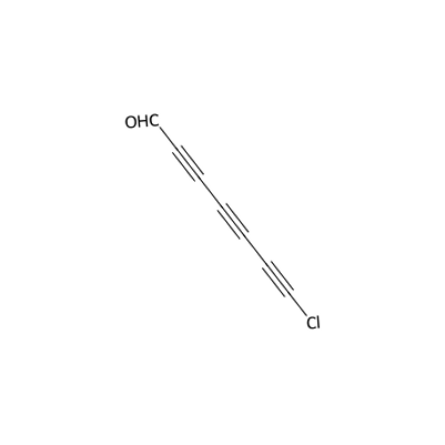 O=CC#CC#CC#CCl